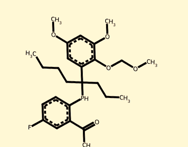 CCCCC(CCC)(Pc1ccc(F)cc1C(C)=O)c1cc(OC)cc(OC)c1OCOC